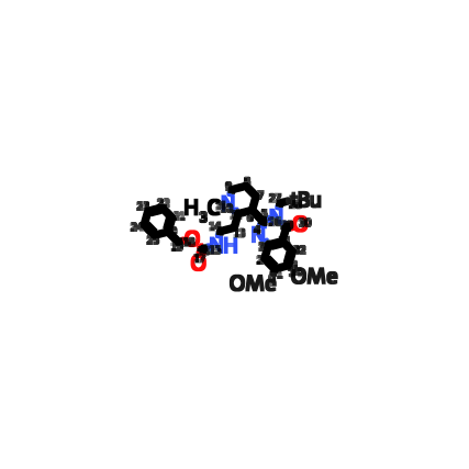 COc1cc2nc(C3CCCN(C)C3CCNC(=O)OCc3ccccc3)n(CC(C)(C)C)c(=O)c2cc1OC